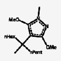 CCCCCCC(C)(CCCCC)c1c(OC)nn(C)c1OC